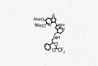 COc1cc2c(nc1OC)c(-c1cc3c(CNCC(OC(=O)C(F)(F)F)c4ccccc4)ccnc3[nH]1)cn2C